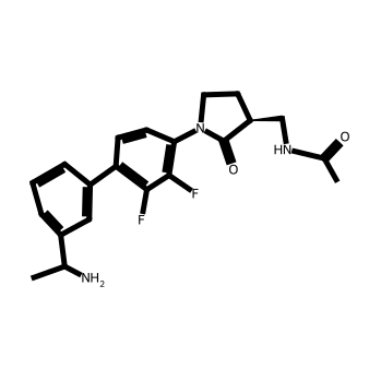 CC(=O)NC[C@@H]1CCN(c2ccc(-c3cccc(C(C)N)c3)c(F)c2F)C1=O